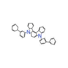 C1=CCC(c2cccc(N3C4CC=c5c(c6ccccc6n5-c5cccc(-c6ccccc6)c5)=C4C4C=CC=CC43)c2)C=C1